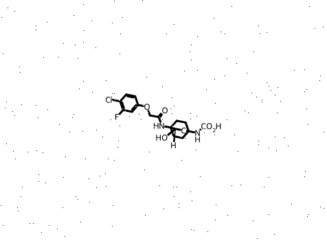 O=C(O)NC12CCC(NC(=O)COc3ccc(Cl)c(F)c3)(CC1)[C@@H](O)C2